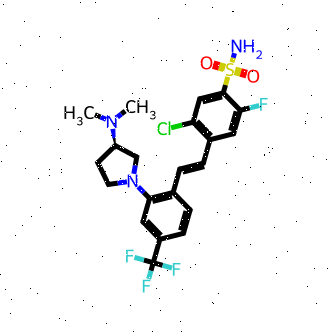 CN(C)[C@@H]1CCN(c2cc(C(F)(F)F)ccc2/C=C/c2cc(F)c(S(N)(=O)=O)cc2Cl)C1